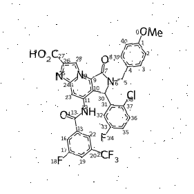 COc1ccc(CN2C(=O)c3c(c(NC(=O)c4cc(F)cc(C(F)(F)F)c4)cc4nc(C(=O)O)cn34)C2c2cc(F)ccc2Cl)cc1